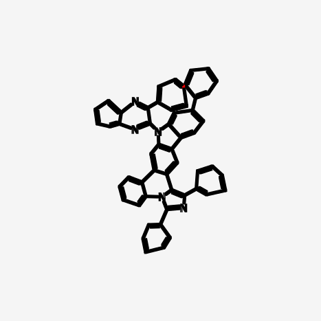 c1ccc(-c2ccc3c4cc5c(cc4n(-c4nc6ccccc6nc4-c4ccccc4)c3c2)c2ccccc2n2c(-c3ccccc3)nc(-c3ccccc3)c52)cc1